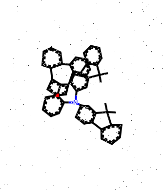 CC1(C)c2ccccc2-c2ccc(N(c3ccc4c(c3)C(C)(C)c3ccccc3-4)c3ccccc3-c3c4cccc3-c3ccccc3-c3ccccc3-4)cc21